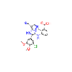 COc1cc(-c2[nH]c3c(C#N)cnn3c2Nc2cccc(C(=O)O)c2C)cc(Cl)c1OC